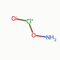 NO[Cl+][O-]